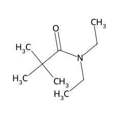 CCN(CC)C(=O)C(C)(C)C